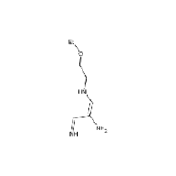 CCOCCN/C=C(/N)C=N